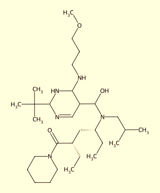 CC[C@@H](C[C@@H](CC)N(CC(C)C)C(O)C1C=NC(C(C)(C)C)NC1NCCCOC)C(=O)N1CCCCC1